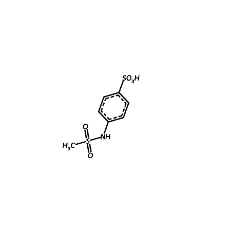 CS(=O)(=O)Nc1ccc(S(=O)(=O)O)cc1